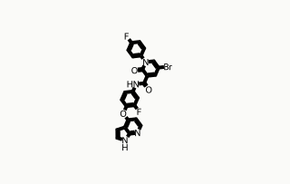 O=C(Nc1ccc(Oc2ccnc3[nH]ccc23)c(F)c1)c1cc(Br)cn(-c2ccc(F)cc2)c1=O